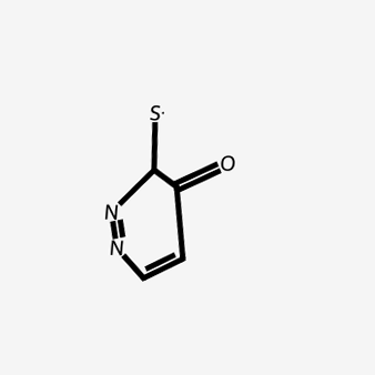 O=C1C=CN=NC1[S]